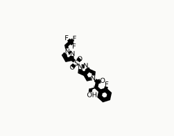 O=C([C@H](CO)c1ccccc1F)N1Cc2cn(S(=O)(=O)c3ccn(CC(F)(F)F)n3)nc2C1